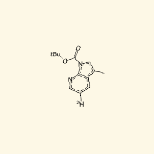 [2H]c1cnc2c(c1)c(C)cn2C(=O)OC(C)(C)C